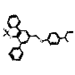 CCC(C)c1ccc(OCc2cc(-c3ccccc3)c(OC(F)(F)F)c(-c3ccccc3)c2)cc1